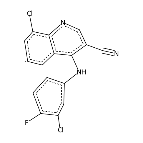 N#Cc1cnc2c(Cl)c[c]cc2c1Nc1ccc(F)c(Cl)c1